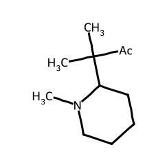 CC(=O)C(C)(C)C1CCCCN1C